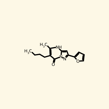 CCCCc1c(C)[nH]c2cc(-c3ccco3)nn2c1=O